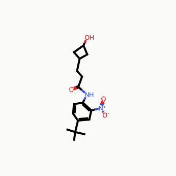 CC(C)(C)c1ccc(NC(=O)CCC2CC(O)C2)c([N+](=O)[O-])c1